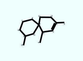 CC1=CC(C)C2(CCCC(C)C2)CC1